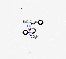 CCOC(=O)C(CCc1ccccc1)NC1CCC=C[N+](CC(=O)O)(c2ccccc2)C1=O